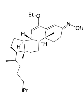 CCOC1=C[C@H]2[C@@H]3CC[C@H]([C@H](C)CCCC(C)C)[C@@]3(C)CC[C@@H]2[C@@]2(C)CCC(=NO)C=C12